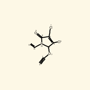 C#COC1C(Cl)=C(Cl)C(=O)N1C=C